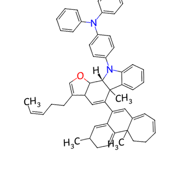 C/C=C\CCC1=COC2C1C=C(C1=CC3=CC=CCCC3(C)C3=CCC(C)C=C13)C1(C)c3ccccc3N(c3ccc(N(c4ccccc4)c4ccccc4)cc3)[C@@H]21